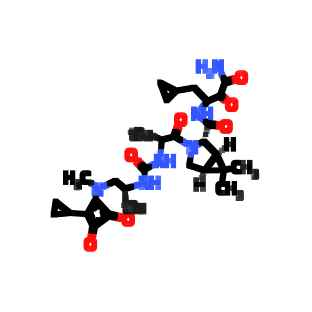 CN(C[C@@H](NC(=O)N[C@H](C(=O)N1C[C@H]2[C@@H]([C@H]1C(=O)NC(CC1CC1)C(=O)C(N)=O)C2(C)C)C(C)(C)C)C(C)(C)C)c1c(C2CC2)c(=O)c1=O